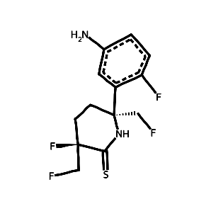 Nc1ccc(F)c([C@]2(CF)CC[C@@](F)(CF)C(=S)N2)c1